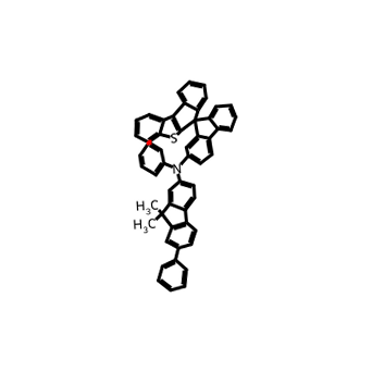 CC1(C)c2cc(-c3ccccc3)ccc2-c2ccc(N(c3ccccc3)c3ccc4c(c3)C3(c5ccccc5-4)c4ccccc4-c4c3sc3ccccc43)cc21